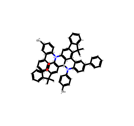 CC(C)(C)c1ccc(N2B3c4cc5c(cc4N(c4ccc(C(C)(C)C)cc4-c4ccccc4)c4cc6c(c(c43)-c3cc(-c4ccccc4)ccc32)C(C)(C)c2ccccc2-6)-c2ccccc2C5(C)C)cc1